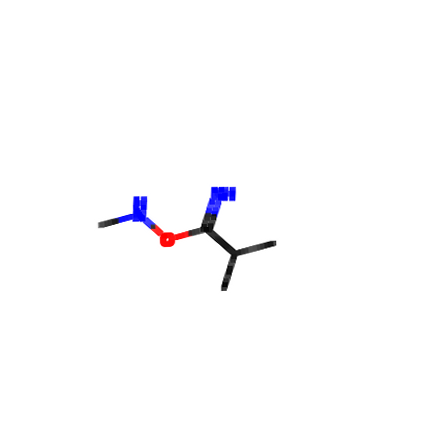 CNOC(=N)C(C)C